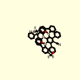 CC1(c2ccccc2)c2ccccc2N(c2c(-n3c4ccccc4c4ccc(C(F)(F)F)cc43)c(-c3ccccc3)c(C#N)c(-c3ccccc3)c2-n2c3ccccc3c3ccc(C(F)(F)F)cc32)c2ccccc21